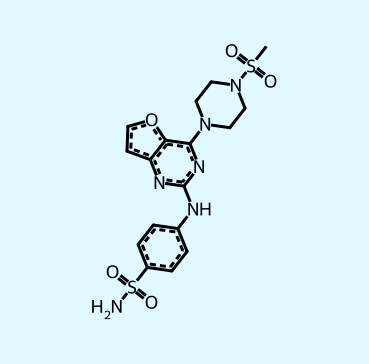 CS(=O)(=O)N1CCN(c2nc(Nc3ccc(S(N)(=O)=O)cc3)nc3ccoc23)CC1